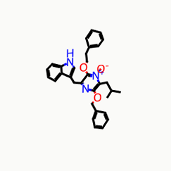 CC(C)Cc1c(OCc2ccccc2)nc(Cc2c[nH]c3ccccc23)c(OCCc2ccccc2)[n+]1[O-]